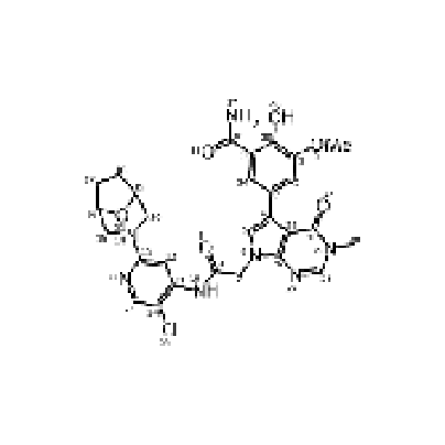 COc1cc(-c2cn(CC(=O)Nc3cc(N4CC5CCC(C4)O5)ncc3Cl)c3ncn(C)c(=O)c23)cc(C(N)=O)c1O